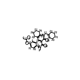 CC(=O)Oc1ccc(N(C)C(=O)c2cc3c(n(CC4CCCCC4)c2=O)CCCC3)cc1